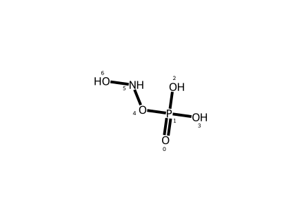 O=P(O)(O)ONO